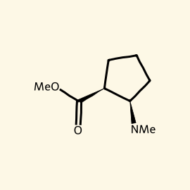 CN[C@@H]1CCC[C@@H]1C(=O)OC